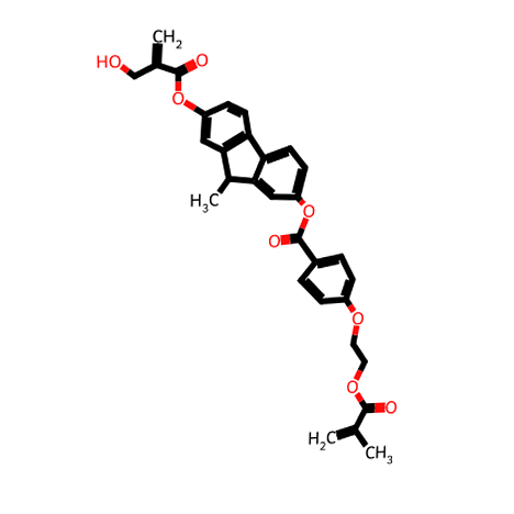 C=C(C)C(=O)OCCOc1ccc(C(=O)Oc2ccc3c(c2)C(C)c2cc(OC(=O)C(=C)CO)ccc2-3)cc1